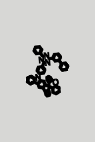 c1ccc(-c2cccc(-c3nc(-c4ccccc4)nc(-c4ccc(-n5c6ccccc6c6cc7c(cc65)C5(c6ccccc6Oc6ccccc65)c5ccccc5-7)cc4)n3)c2)cc1